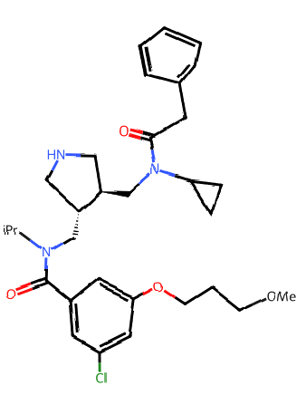 COCCCOc1cc(Cl)cc(C(=O)N(C[C@@H]2CNC[C@H]2CN(C(=O)Cc2ccccc2)C2CC2)C(C)C)c1